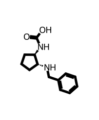 O=C(O)N[C@@H]1CCC[C@H]1NCc1ccccc1